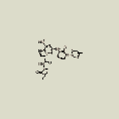 CNc1cc(Nc2cccn(-c3ccc(C)cn3)c2=O)nn2c(C(=O)N[C@@H]3CCN(C)C3=O)cnc12